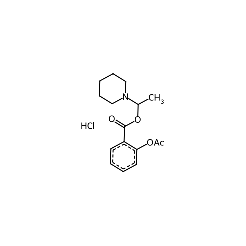 CC(=O)Oc1ccccc1C(=O)OC(C)N1CCCCC1.Cl